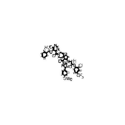 COc1ccc(-c2nc3n(CC(=O)Nc4ccc(C(F)(F)F)cc4Cl)c4c(c(=O)n3n2)C2(CC4)CCN(C(=O)c3ncnc(C)c3OCc3ccccc3)CC2)cc1